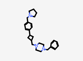 c1ccc(CN2CCN(CC3CC(c4ccc(CN5CCCC5)cc4)C3)CC2)cc1